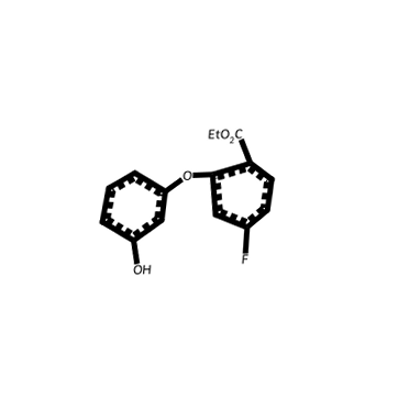 CCOC(=O)c1ccc(F)cc1Oc1cccc(O)c1